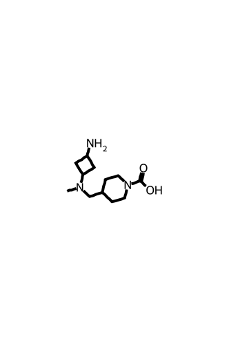 CN(CC1CCN(C(=O)O)CC1)C1CC(N)C1